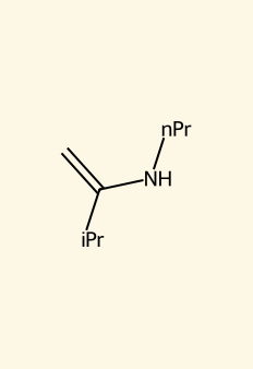 C=C(NCCC)C(C)C